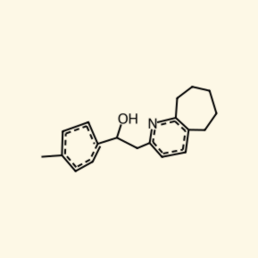 Cc1ccc(C(O)Cc2ccc3c(n2)CCCCC3)cc1